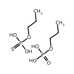 CCCOP(=O)(O)O.CCCOP(O)(O)=S